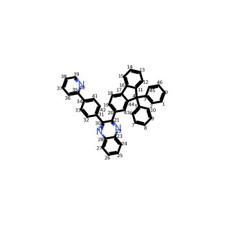 c1ccc(C2(c3ccccc3)c3ccccc3-c3ccc(-c4nc5ccccc5nc4-c4ccc(-c5ccccn5)cc4)cc32)cc1